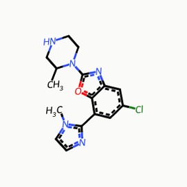 CC1CNCCN1c1nc2cc(Cl)cc(-c3nccn3C)c2o1